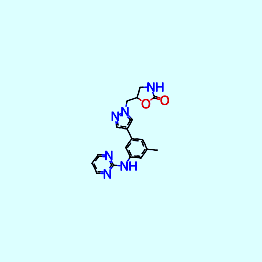 Cc1cc(Nc2ncccn2)cc(-c2cnn(CC3CNC(=O)O3)c2)c1